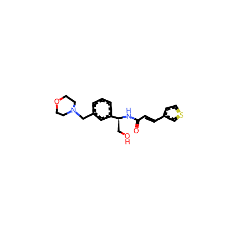 O=C(C=Cc1ccsc1)N[C@@H](CO)c1cccc(CN2CCOCC2)c1